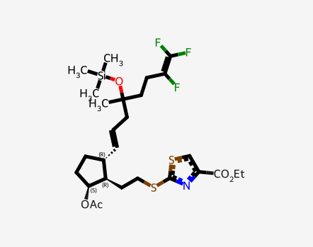 CCOC(=O)c1csc(SCC[C@H]2[C@@H](OC(C)=O)CC[C@@H]2C=CCC(C)(CCC(F)=C(F)F)O[Si](C)(C)C)n1